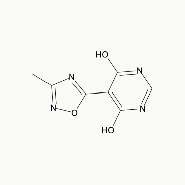 Cc1noc(-c2c(O)ncnc2O)n1